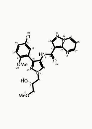 COC[C@H](O)Cn1cc(NC(=O)c2cnn3cccnc23)c(-c2cc(Cl)ccc2OC)n1